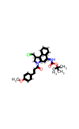 COc1ccc(C=CC(=O)N2CC(CCl)c3c2cc(NC(=O)OC(C)(C)C)c2ccccc32)cc1